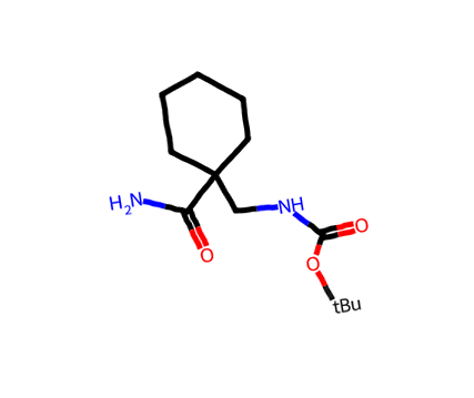 CC(C)(C)OC(=O)NCC1(C(N)=O)CCCCC1